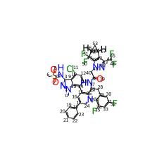 Cn1nc(NS(C)(=O)=O)c2c(Cl)ccc(-c3cc(-c4ccccc4)cnc3[C@H](Cc3cc(F)cc(F)c3)NC(=O)Cn3nc(C(F)F)c4c3C(F)(F)[C@@H]3C[C@H]43)c21